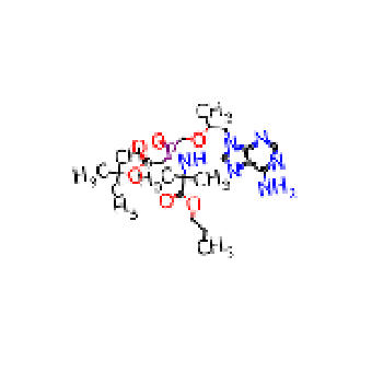 CCCOC(=O)C(C)(C)NP(=O)(COC(C)Cn1cnc2c(N)ncnc21)CC(=O)OC(C)(C)C